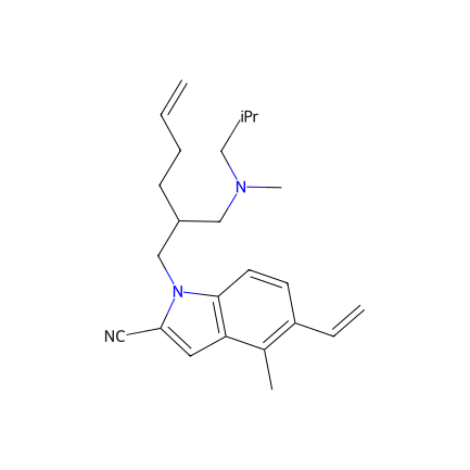 C=CCCC(CN(C)CC(C)C)Cn1c(C#N)cc2c(C)c(C=C)ccc21